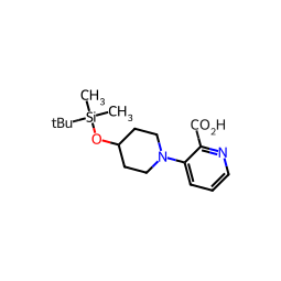 CC(C)(C)[Si](C)(C)OC1CCN(c2cccnc2C(=O)O)CC1